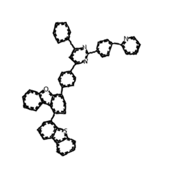 c1ccc(-c2cc(-c3ccc(-c4ccc(-c5cccc6c5sc5ccccc56)c5c4oc4ccccc45)cc3)nc(-c3ccc(-c4ccccn4)cc3)n2)cc1